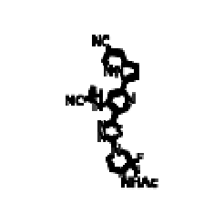 CC(=O)N[C@@H]1CCN(c2nnc(-c3cnc(-c4ccc5cc(C#N)cnn45)cc3NC(C)C#N)s2)CC1(F)F